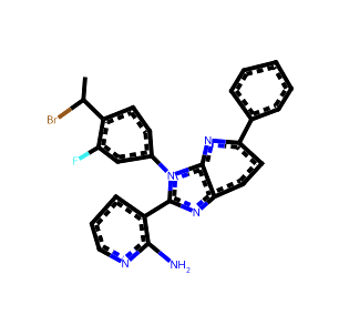 CC(Br)c1ccc(-n2c(-c3cccnc3N)nc3ccc(-c4ccccc4)nc32)cc1F